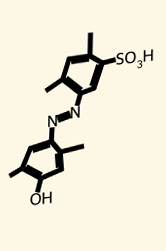 Cc1cc(N=Nc2cc(S(=O)(=O)O)c(C)cc2C)c(C)cc1O